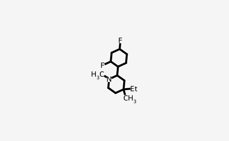 CCC1(C)CCN(C)C(C2CCC(F)CC2F)C1